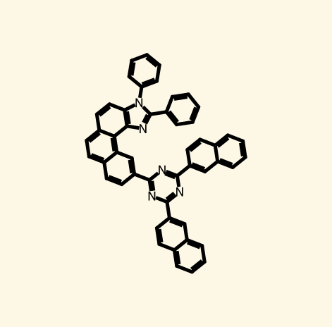 c1ccc(-c2nc3c4c(ccc5ccc(-c6nc(-c7ccc8ccccc8c7)nc(-c7ccc8ccccc8c7)n6)cc54)ccc3n2-c2ccccc2)cc1